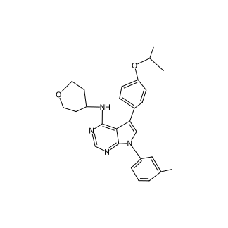 Cc1cccc(-n2cc(-c3ccc(OC(C)C)cc3)c3c(NC4CCOCC4)ncnc32)c1